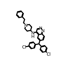 Clc1ccc(C(c2ccc(Cl)cc2)c2ccc3nncc(NC4CCN(CCc5ccccc5)CC4)c3c2)cc1